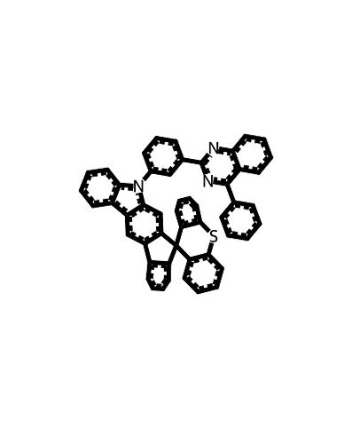 c1ccc(-c2nc(-c3cccc(-n4c5ccccc5c5cc6c(cc54)C4(c5ccccc5Sc5ccccc54)c4ccccc4-6)c3)nc3ccccc23)cc1